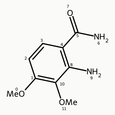 COc1ccc(C(N)=O)c(N)c1OC